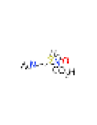 CC(=O)N(C)CCCC1=C(C(=O)O)N2C(=O)C[C@@H]2S1